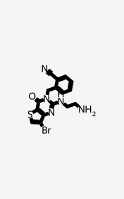 N#Cc1ccccc1Cn1c(NCCN)nc2c(Br)csc2c1=O